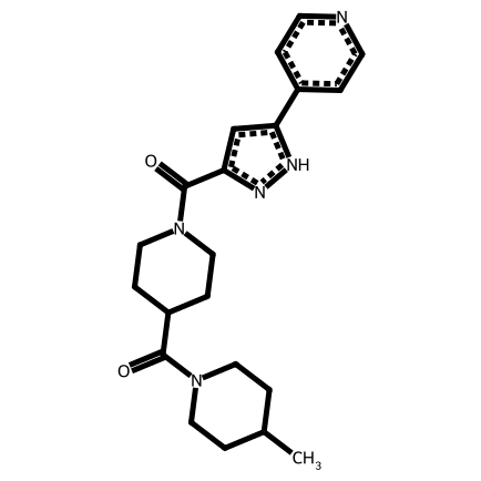 CC1CCN(C(=O)C2CCN(C(=O)c3cc(-c4ccncc4)[nH]n3)CC2)CC1